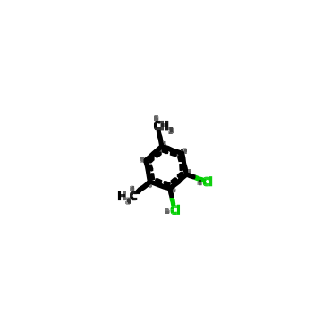 Cc1[c]c(Cl)c(Cl)c(C)c1